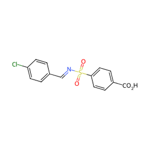 O=C(O)c1ccc(S(=O)(=O)N=Cc2ccc(Cl)cc2)cc1